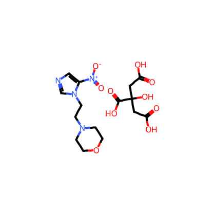 O=C(O)CC(O)(CC(=O)O)C(=O)O.O=[N+]([O-])c1cncn1CCN1CCOCC1